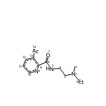 CCN(C)CCNC(=O)c1ncccc1C(C)=O